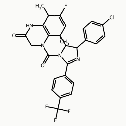 CC1C(F)=CC2(C)C3=C1NC(=O)CN3C(=O)N1C(c3ccc(C(F)(F)F)cc3)=NC(c3ccc(Cl)cc3)C12